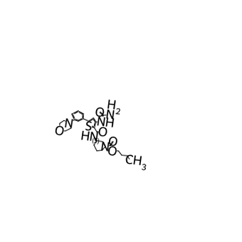 CCCCOC(=O)N1CCC[C@H](NC(=O)c2sc(-c3cccc(N4CCOCC4)c3)cc2NC(N)=O)C1